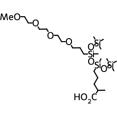 COCCOCCOCCOCCC[Si](C)(O[Si](C)(C)C)O[Si](C)(CCCC(C)C(=O)O)O[Si](C)(C)C